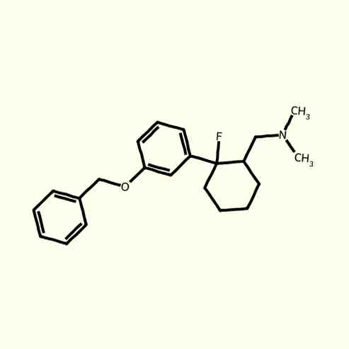 CN(C)CC1CCCCC1(F)c1cccc(OCc2ccccc2)c1